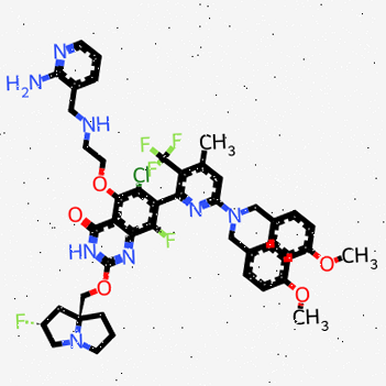 COc1ccc(CN(Cc2ccc(OC)cc2)c2cc(C)c(C(F)(F)F)c(-c3c(Cl)c(OCCNCc4cccnc4N)c4c(=O)[nH]c(OC[C@@]56CCCN5C[C@H](F)C6)nc4c3F)n2)cc1